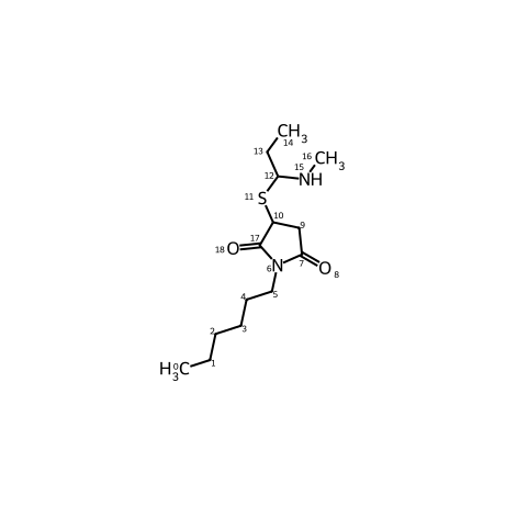 CCCCCCN1C(=O)CC(SC(CC)NC)C1=O